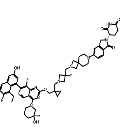 CCc1c(F)ccc2cc(O)cc(-c3ncc4c(N5CCC[C@@](C)(O)C5)nc(OCC5(CN6CC(F)(CN7CC8(CCN(c9ccc%10c(c9)CN([C@H]9CCC(=O)NC9=O)C%10=O)CC8)C7)C6)CC5)nc4c3F)c12